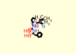 CC(C)(C)/C=C(\C#N)C(=O)N1CCC[C@H]1CNC(=O)N[C@@H](Cc1ccccc1)B(O)O